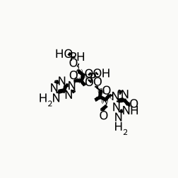 CC1[C@@H](CC=O)[C@H](n2cnc3c(=O)[nH]c(N)nc32)O[C@@H]1COP(=O)(O)O[C@H]1C(C)[C@H](n2cnc3c(N)ncnc32)O[C@@H]1COPO